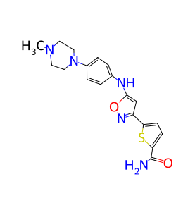 CN1CCN(c2ccc(Nc3cc(-c4ccc(C(N)=O)s4)no3)cc2)CC1